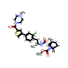 CC(C)N1CCN(C(=O)c2cc(-c3ccc(C[C@@H](C#N)NC(=O)[C@@H]4[C@H]5CC[C@H](C5)N4C(=O)OC(C)(C)C)c(F)c3)cs2)CC1